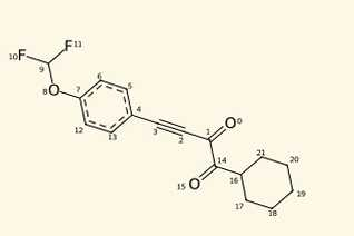 O=C(C#Cc1ccc(OC(F)F)cc1)C(=O)C1CCCCC1